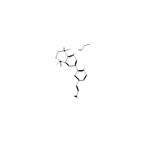 CCCOc1cc(-c2cc(/C=C/C(=O)O)ccc2O)cc2c1C(C)(C)CCC2(C)C